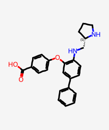 O=C(O)c1ccc(Oc2cc(-c3ccccc3)ccc2NC[C@@H]2CCCN2)cc1